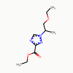 CCOCC(C)n1cnc(C(=O)OCC)n1